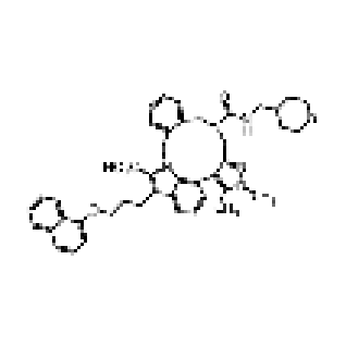 Cc1c2c(nn1C)CN(C(=O)NCC1CCOCC1)Cc1ccccc1Cn1c(C(=O)O)c(CCCOc3cccc4ccccc34)c3cccc-2c31